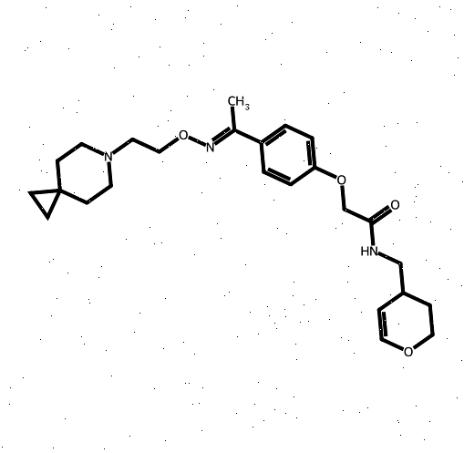 C/C(=N\OCCN1CCC2(CC1)CC2)c1ccc(OCC(=O)NCC2C=COCC2)cc1